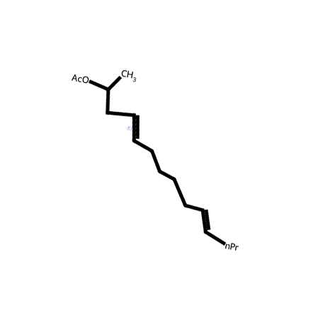 CCCC=CCCCC/C=C/CC(C)OC(C)=O